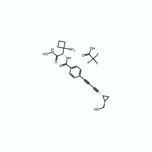 NC1([C@H](NC(=O)c2ccc(C#CC#C[C@@H]3C[C@H]3CO)cc2)C(=O)NO)CCC1.O=C(O)C(F)(F)F